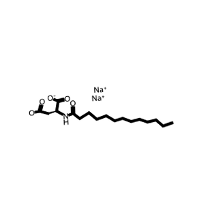 CCCCCCCCCCCCC(=O)N[C@@H](CC(=O)[O-])C(=O)[O-].[Na+].[Na+]